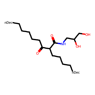 CCCCCCCCCCCCCCCC(=O)C(CCCCCCCCCCCCCC)C(=O)NCC(O)CO